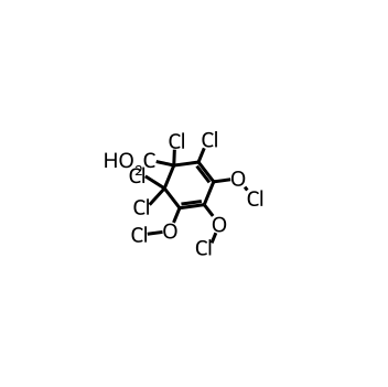 O=C(O)C1(Cl)C(Cl)=C(OCl)C(OCl)=C(OCl)C1(Cl)Cl